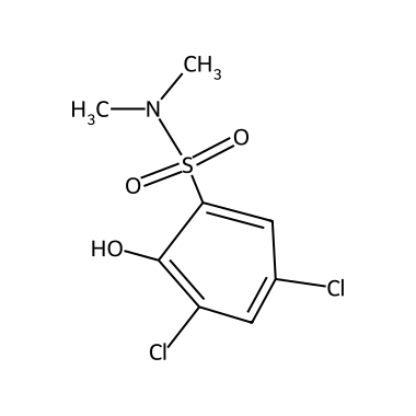 CN(C)S(=O)(=O)c1cc(Cl)cc(Cl)c1O